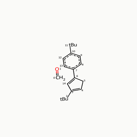 C=O.CC(C)(C)C1=CCC(c2ccc(C(C)(C)C)cc2)=C1